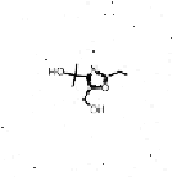 CCc1nc(C(C)(C)O)c(CO)o1